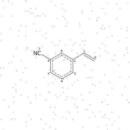 C=Cc1c[c]cc(C#N)c1